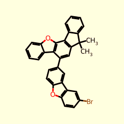 CC1(C)c2ccccc2-c2c1cc(-c1ccc3oc4ccc(Br)cc4c3c1)c1c2oc2ccccc21